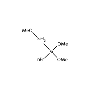 CCC[Si](C)(OC)OC.CO[SiH3]